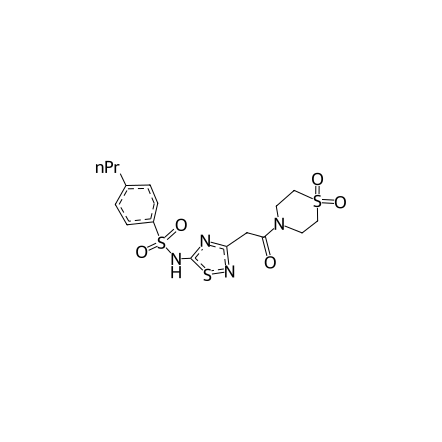 CCCc1ccc(S(=O)(=O)Nc2nc(CC(=O)N3CCS(=O)(=O)CC3)ns2)cc1